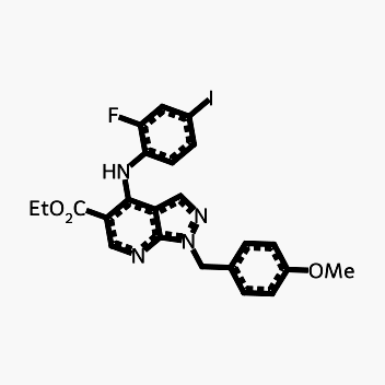 CCOC(=O)c1cnc2c(cnn2Cc2ccc(OC)cc2)c1Nc1ccc(I)cc1F